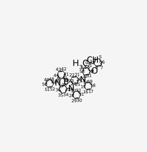 CC1(C)c2ccccc2Oc2cc(N(c3ccccc3)c3ccc4c(c3)N(c3ccccc3)c3cccc5c3B4c3ccccc3N5c3ccccc3)ccc21